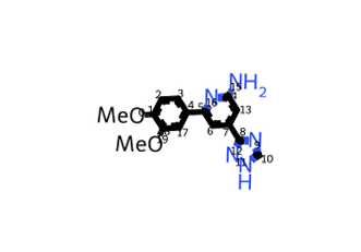 COc1ccc(-c2cc(-c3nc[nH]n3)cc(N)n2)cc1OC